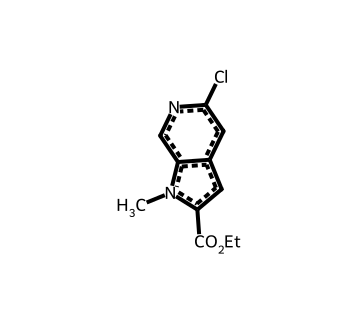 CCOC(=O)c1cc2cc(Cl)ncc2n1C